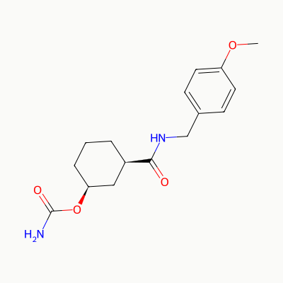 COc1ccc(CNC(=O)[C@@H]2CCC[C@H](OC(N)=O)C2)cc1